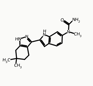 CN(C(N)=O)c1ccc2cc(-c3n[nH]c4c3CCC(C)(C)C4)[nH]c2c1